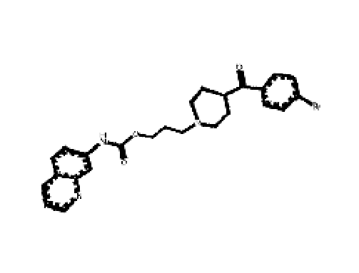 O=C(Nc1ccc2cccnc2c1)OCCCN1CCC(C(=O)c2ccc(Br)cc2)CC1